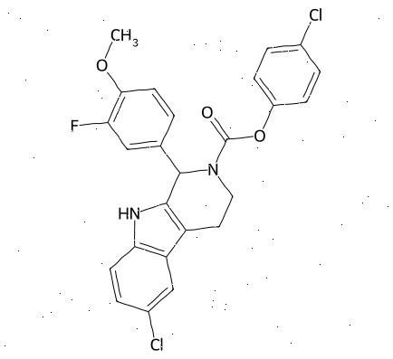 COc1ccc(C2c3[nH]c4ccc(Cl)cc4c3CCN2C(=O)Oc2ccc(Cl)cc2)cc1F